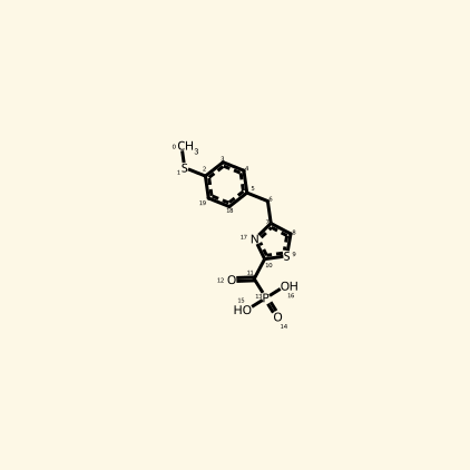 CSc1ccc(Cc2csc(C(=O)P(=O)(O)O)n2)cc1